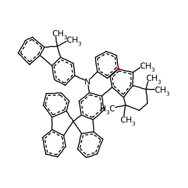 Cc1ccc(-c2cc3c(cc2N(c2ccccc2)c2ccc4c(c2)C(C)(C)c2ccccc2-4)C2(c4ccccc4-c4ccccc42)c2ccccc2-3)c2c1C(C)(C)CCC2(C)C